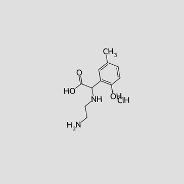 Cc1ccc(O)c(C(NCCN)C(=O)O)c1.Cl